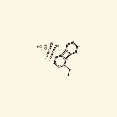 CCc1cccc2c1=c1ccccc1=2.Cl.Cl.N=C=O.N=C=O